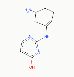 NC1CCC=C(Nc2nccc(O)n2)C1